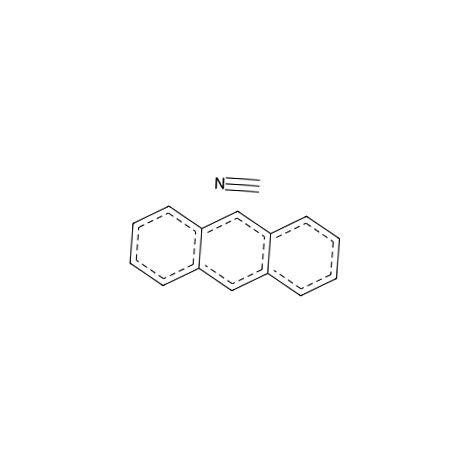 C#N.c1ccc2cc3ccccc3cc2c1